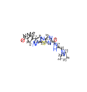 CNC(=O)c1ccc(-c2cn3c(n2)sc2nc(C(=O)NCCCN4CCCCC4)ncc23)cc1